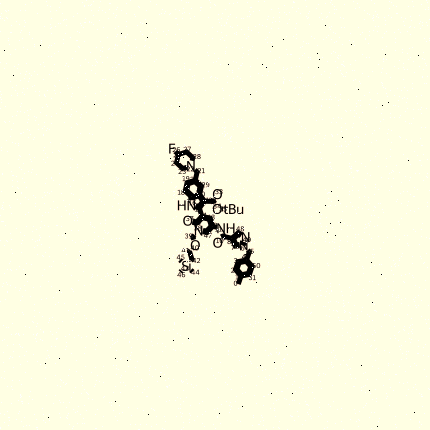 Cc1ccc(Cn2cc(C(=O)Nc3cc(-c4[nH]c5ccc(CN6CCC(F)CC6)cc5c4C(=O)OC(C)(C)C)c(=O)n(COCC[Si](C)(C)C)c3)cn2)cc1